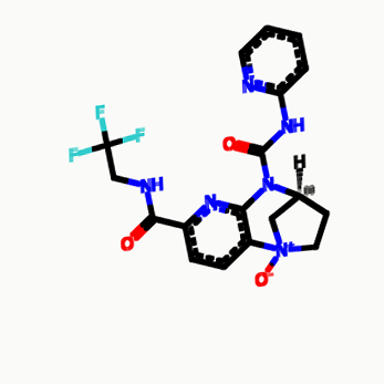 O=C(NCC(F)(F)F)c1ccc2c(n1)N(C(=O)Nc1ccccn1)[C@H]1CC[N+]2([O-])C1